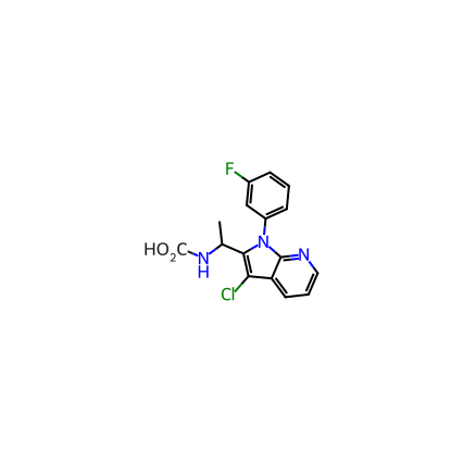 CC(NC(=O)O)c1c(Cl)c2cccnc2n1-c1cccc(F)c1